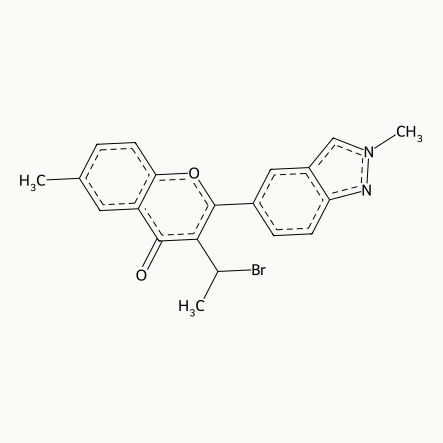 Cc1ccc2oc(-c3ccc4nn(C)cc4c3)c(C(C)Br)c(=O)c2c1